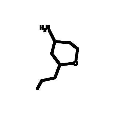 CCCC1CC(N)CCO1